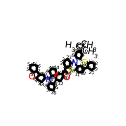 C[Si](C)(C)c1ccc(N(c2cccc3c2sc2ccccc23)c2cccc3c2sc2oc4cc(-c5ccccc5N(c5ccccc5)c5ccc6oc7ccccc7c6c5)ccc4c23)cc1